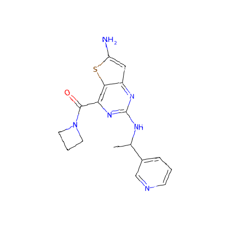 CC(Nc1nc(C(=O)N2CCC2)c2sc(N)cc2n1)c1cccnc1